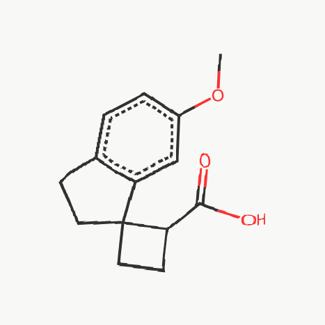 COc1ccc2c(c1)C1(CC2)CCC1C(=O)O